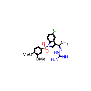 COc1ccc(S(=O)(=O)n2cc(/C(C)=N\NC(=N)N)c3cc(Cl)ccc32)cc1OC